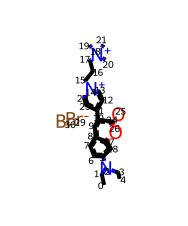 CCN(CC)c1ccc2cc(-c3cc[n+](CCC[N+](C)(C)C)cc3)c(=O)oc2c1.[Br-].[Br-]